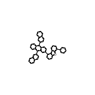 c1ccc(-c2cccc3c2oc2cccc(-c4ccc5c(-c6ccc7ccccc7c6)c6ccccc6c(-c6ccc7ccccc7c6)c5c4)c23)cc1